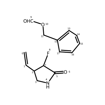 C=CC1CNC(=O)C1F.O=COCc1ccccc1